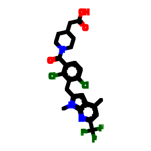 Cc1cc(C(F)(F)F)nc2c1cc(Cc1c(Cl)ccc(C(=O)N3CCC(CC(=O)O)CC3)c1Cl)n2C